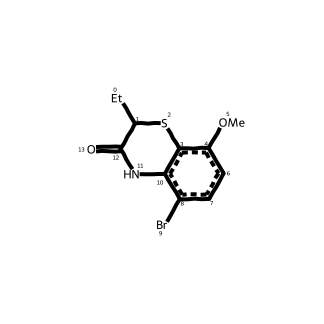 CCC1Sc2c(OC)ccc(Br)c2NC1=O